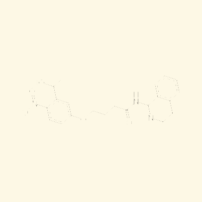 CC(O)c1cc(OCCCC(=O)NC2NCCc3ccccc32)ccc1[N+](=O)[O-]